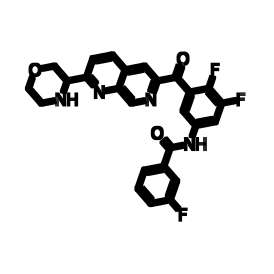 O=C(Nc1cc(F)c(F)c(C(=O)c2cc3ccc(C4COCCN4)nc3cn2)c1)c1cccc(F)c1